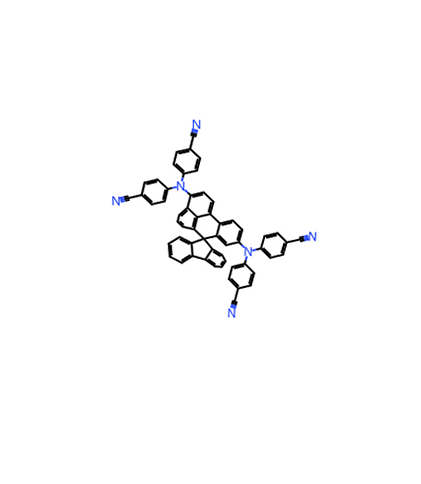 N#Cc1ccc(N(c2ccc(C#N)cc2)c2ccc3c(c2)C2(c4ccccc4-c4ccccc42)c2cccc4c(N(c5ccc(C#N)cc5)c5ccc(C#N)cc5)ccc-3c24)cc1